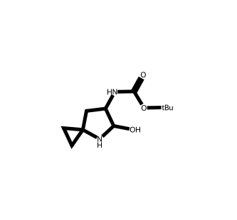 CC(C)(C)OC(=O)NC1CC2(CC2)NC1O